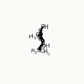 C=C(C)CCCC(O)COC1=CC2OC(=O)C(c3ccc(OCCCO)cc3CC)=CC2C=C1